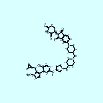 Cn1ncc(-c2nc(N[C@@H]3CCN(CC4CCN(CC5CCN(c6ccc7c(c6)C(=O)N(C6CCC(=O)NC6=O)C7=O)CC5)CC4)C3)ncc2Cl)c1CC1CC1